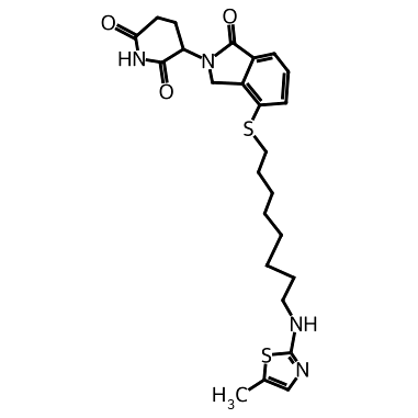 Cc1cnc(NCCCCCCCCSc2cccc3c2CN(C2CCC(=O)NC2=O)C3=O)s1